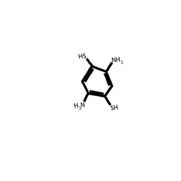 Nc1cc(S)c(N)cc1S